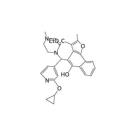 CCOC(=O)c1c(C)oc2c1c(C(c1ccnc(OC3CC3)c1)N1CCN(C)CC1)c(O)c1ccccc12